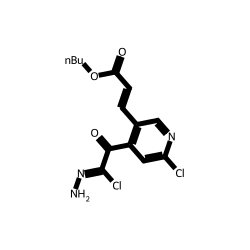 CCCCOC(=O)C=Cc1cnc(Cl)cc1C(=O)C(Cl)=NN